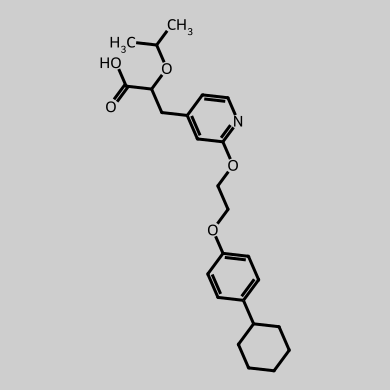 CC(C)OC(Cc1ccnc(OCCOc2ccc(C3CCCCC3)cc2)c1)C(=O)O